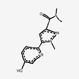 CN(C)C(=O)c1cc(-c2ccc(O)cn2)n(C)n1